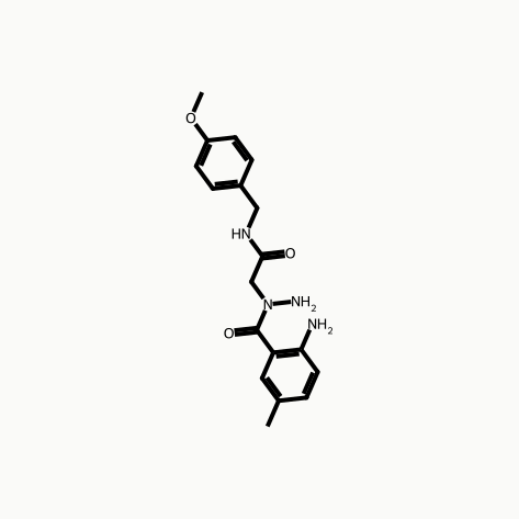 COc1ccc(CNC(=O)CN(N)C(=O)c2cc(C)ccc2N)cc1